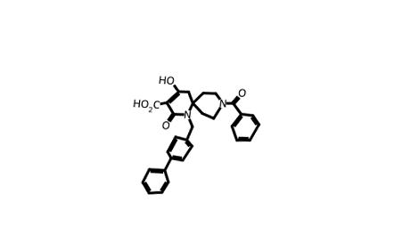 O=C(O)C1=C(O)CC2(CCN(C(=O)c3ccccc3)CC2)N(Cc2ccc(-c3ccccc3)cc2)C1=O